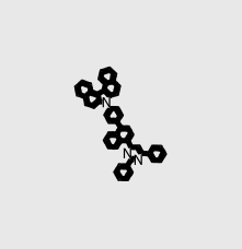 c1ccc(-c2cc(-c3ccc(-c4ccc(-n5c6ccc7ccccc7c6c6c7ccccc7ccc65)cc4)c4ccccc34)nc(-c3ccccc3)n2)cc1